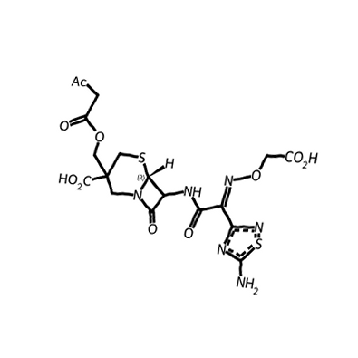 CC(=O)CC(=O)OCC1(C(=O)O)CS[C@@H]2C(NC(=O)C(=NOCC(=O)O)c3nsc(N)n3)C(=O)N2C1